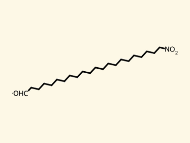 O=[C]CCCCCCCCCCCCCCCCCCCCC[N+](=O)[O-]